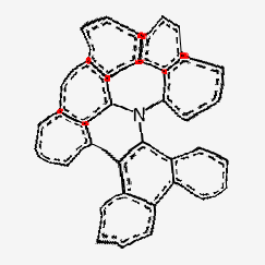 c1ccc(-c2ccccc2N(c2ccccc2-c2ccccc2)c2c(-c3ccccc3)c3ccccc3c3ccccc23)cc1